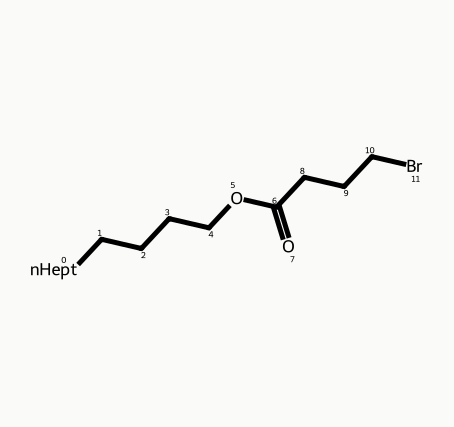 CCCCCCCCCCCOC(=O)CCCBr